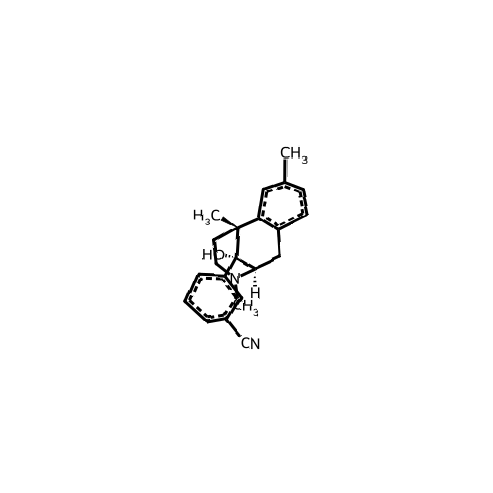 Cc1ccc2c(c1)[C@@]1(C)CCN(C)[C@H](C2)[C@@]1(O)c1cccc(C#N)c1